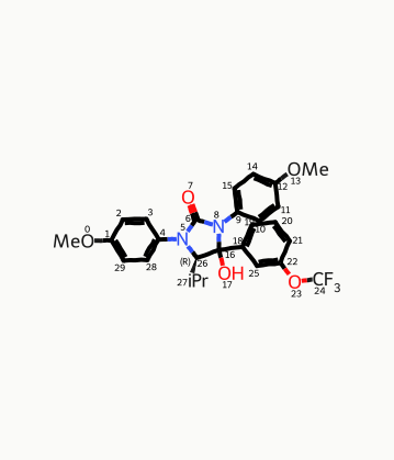 COc1ccc(N2C(=O)N(c3ccc(OC)cc3)C(O)(c3cccc(OC(F)(F)F)c3)[C@H]2C(C)C)cc1